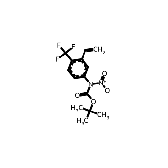 C=Cc1cc(N(C(=O)OC(C)(C)C)[N+](=O)[O-])ccc1C(F)(F)F